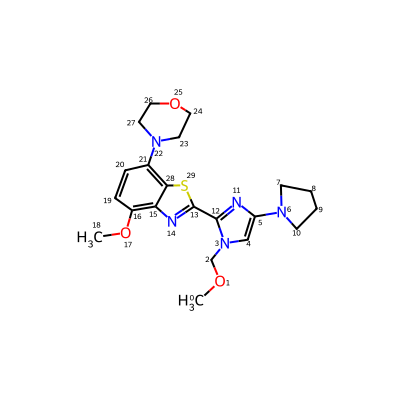 COCn1cc(N2CCCC2)nc1-c1nc2c(OC)ccc(N3CCOCC3)c2s1